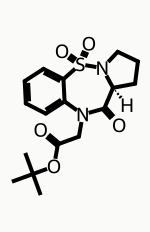 CC(C)(C)OC(=O)CN1C(=O)[C@@H]2CCCN2S(=O)(=O)c2ccccc21